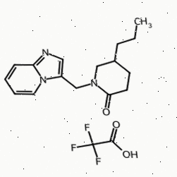 CCCC1CCC(=O)N(Cc2cnc3ccccn23)C1.O=C(O)C(F)(F)F